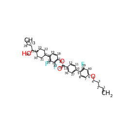 C=CCCCOc1ccc(-c2ccc(C(=O)Oc3ccc(C4CCC(C(O)CCC)CC4)c(F)c3F)cc2)c(F)c1